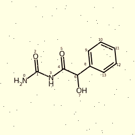 NC(=O)NC(=O)C(O)c1ccccc1